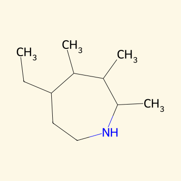 CCC1CCNC(C)C(C)C1C